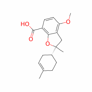 COc1ccc(C(=O)O)c2c1CC(C)([C@H]1CC=C(C)CC1)O2